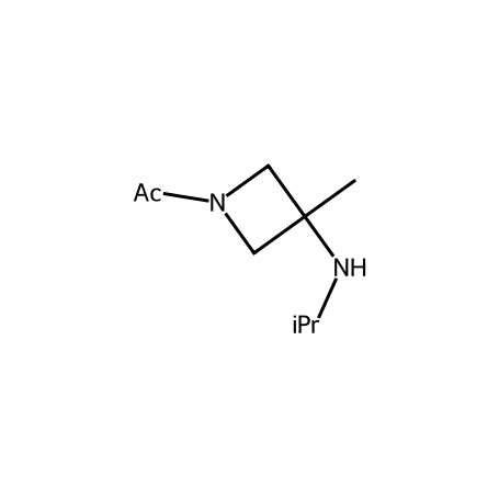 CC(=O)N1CC(C)(NC(C)C)C1